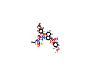 CCCN(C(=O)S)C(=O)CN(c1ccc(NS(=O)(=O)c2ccc(OC)cc2)c2ccccc12)S(=O)(=O)c1ccc(OC)cc1